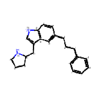 c1ccc(CCCc2ccc3[nH]cc(CC4CCCN4)c3c2)cc1